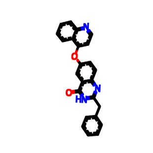 O=c1[nH]c(Cc2ccccc2)nc2ccc(Oc3ccnc4ccccc34)cc12